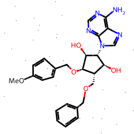 COc1ccc(CO[C@H]2[C@@H](O)[C@H](n3cnc4c(N)ncnc43)[C@@H](O)[C@@H]2COCc2ccccc2)cc1